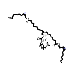 CCCCCC/C=C\COC(=O)CCCCCCCC(CCCCCCCC(=O)OC/C=C\CCCCCC)CNC(=O)NCC(C)(C)CC(C)(C)CN(C)C